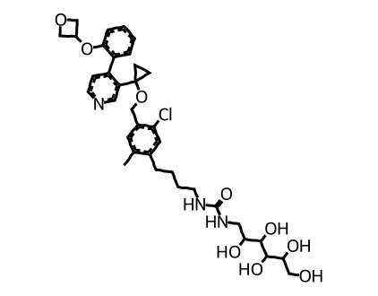 Cc1cc(COC2(c3cnccc3-c3ccccc3OC3COC3)CC2)c(Cl)cc1CCCCNC(=O)NCC(O)C(O)C(O)C(O)CO